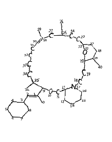 CC(=CC1CCCCC1)C1OCC2CCCCN2CCC2OC(CCC(C)C/C(C)=C\CCCCC1C)CCC2C